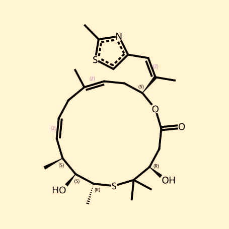 C/C1=C/C[C@@H](/C(C)=C\c2csc(C)n2)OC(=O)C[C@@H](O)C(C)(C)S[C@H](C)[C@@H](O)[C@@H](C)/C=C\C1